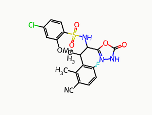 COc1cc(Cl)ccc1S(=O)(=O)NC(c1n[nH]c(=O)o1)C(C)c1c(F)ccc(C#N)c1C